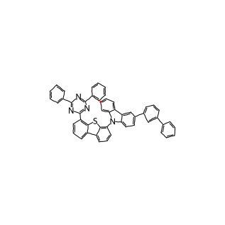 c1ccc(-c2cccc(-c3ccc4c(c3)c3ccccc3n4-c3cccc4c3sc3c(-c5nc(-c6ccccc6)nc(-c6ccccc6)n5)cccc34)c2)cc1